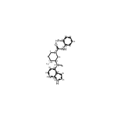 C[C@@H]1CCN(C(=O)Nc2ccccc2F)CC1N(C)c1ccnc2[nH]ccc12